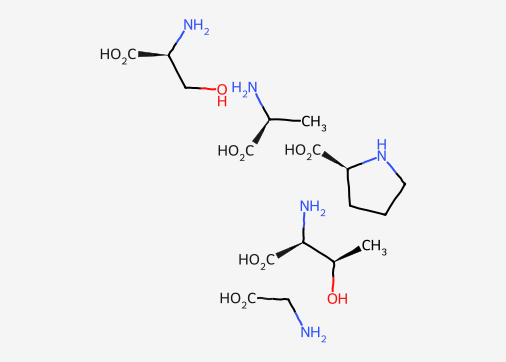 C[C@@H](O)[C@H](N)C(=O)O.C[C@H](N)C(=O)O.NCC(=O)O.N[C@@H](CO)C(=O)O.O=C(O)[C@@H]1CCCN1